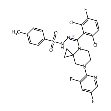 Cc1ccc(S(=O)(=O)N/N=C(/c2c(Cl)ccc(F)c2Cl)N2CCN(c3ncc(F)cc3F)CC23CC3)cc1